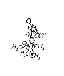 C=CC(=O)Nc1cc(Nc2ncnc(-c3ccccc3)n2)c(OC)cc1N(C)CCN(C)C